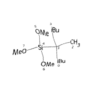 CCC(C)C(C)(C(C)CC)[Si](OC)(OC)OC